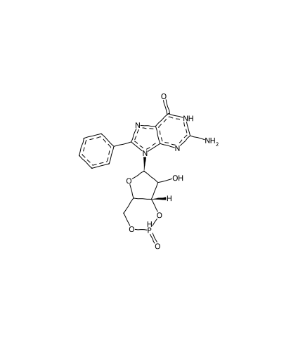 Nc1nc2c(nc(-c3ccccc3)n2[C@@H]2OC3CO[PH](=O)O[C@H]3C2O)c(=O)[nH]1